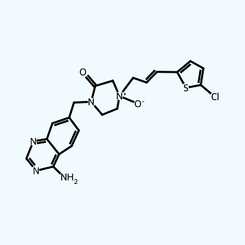 Nc1ncnc2cc(CN3CC[N+]([O-])(CC=Cc4ccc(Cl)s4)CC3=O)ccc12